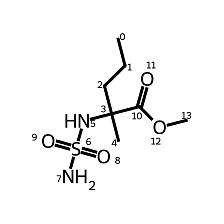 CCCC(C)(NS(N)(=O)=O)C(=O)OC